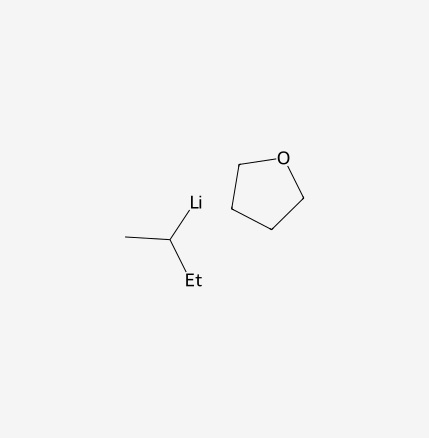 C1CCOC1.[Li][CH](C)CC